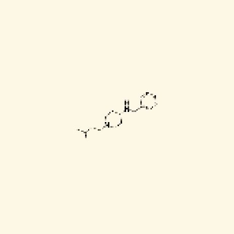 CC(C)CCN1CCC(NCc2ccccc2)CC1